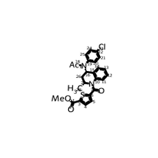 COC(=O)c1ccc(C(=O)N2c3ccccc3[C@H](N(C(C)=O)c3ccc(Cl)cc3)C[C@@H]2C)s1